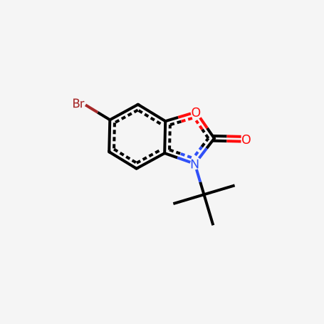 CC(C)(C)n1c(=O)oc2cc(Br)ccc21